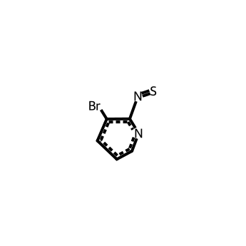 S=Nc1ncccc1Br